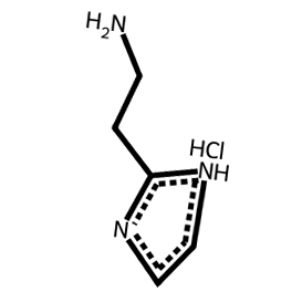 Cl.NCCc1ncc[nH]1